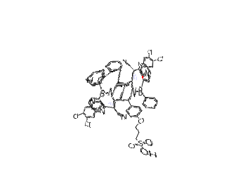 Cc1ccccc1-c1c2/c(=C(\C#N)c3cnc4cc(Cl)c(Cl)cc4n3)n(B(c3ccccc3)c3ccccc3)c(-c3ccc(OCCCS(=O)(=O)O)cc3)c2/c(=C(\C#N)c2cnc3cc(Cl)c(Cl)cc3n2)n1B(c1ccccc1)c1ccccc1